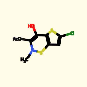 CC(=O)OC1=C(O)c2sc(Cl)cc2SN1C